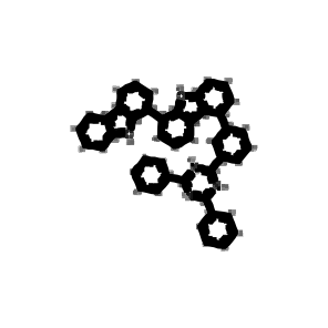 c1ccc(-c2nc(-c3ccccc3)nc(-c3cccc(-c4cccc5oc6c(-c7cccc8c7oc7ccccc78)cccc6c45)c3)n2)cc1